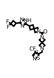 O=C(N1CC2(CC(c3nc(C4CC(F)(F)C4)n[nH]3)C2)C1)N1CC2(CN(Cc3sncc3C(F)(F)F)C2)C1